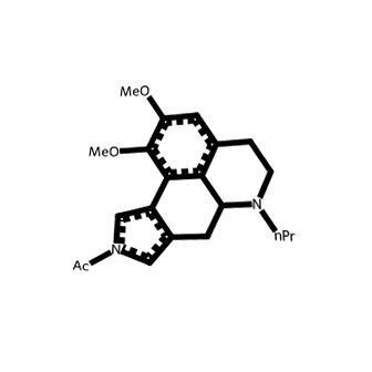 CCCN1CCc2cc(OC)c(OC)c3c2C1Cc1cn(C(C)=O)cc1-3